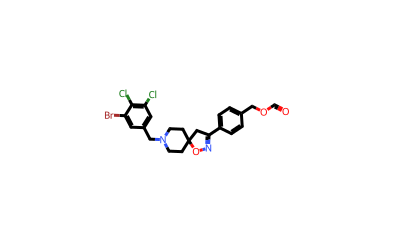 O=COCc1ccc(C2=NOC3(CCN(Cc4cc(Cl)c(Cl)c(Br)c4)CC3)C2)cc1